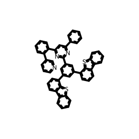 c1ccc(-c2cc(-c3ccccc3-c3cccnc3)nc(-c3cc(-c4cccc5c4sc4ccccc45)cc(-c4cccc5c4sc4ccccc45)c3)n2)cc1